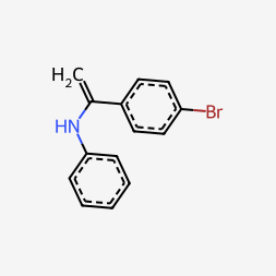 C=C(Nc1ccccc1)c1ccc(Br)cc1